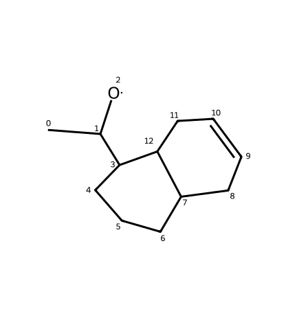 CC([O])C1CCCC2CC=CCC21